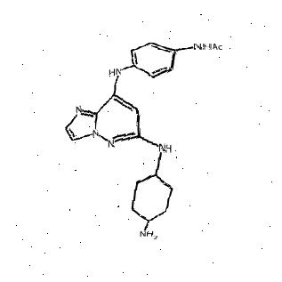 CC(=O)Nc1ccc(Nc2cc(NC3CCC(N)CC3)nn3ccnc23)cc1